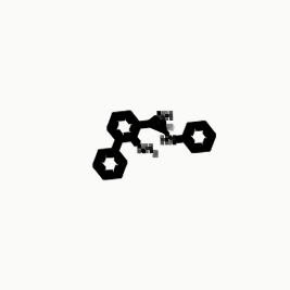 Nc1c(-c2ccccc2)cccc1C1N[C@@H]1Nc1ccccc1